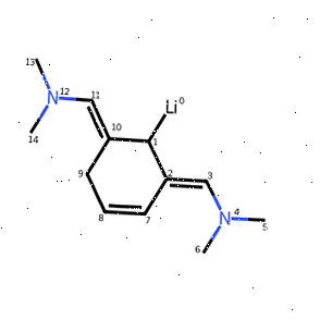 [Li][CH]1C(=CN(C)C)C=CCC1=CN(C)C